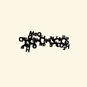 COC1CN(c2nc(CN3CCOCC3)c(C(=O)O)s2)CCC1NC(=O)c1[nH]c(C)c(Cl)c1Cl